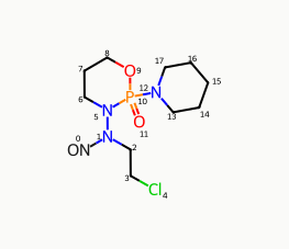 O=NN(CCCl)N1CCCOP1(=O)N1CCCCC1